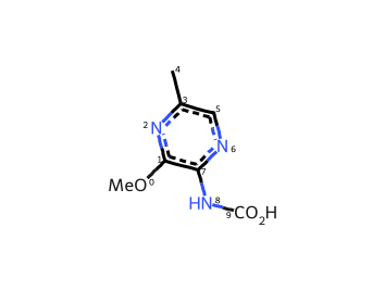 COc1nc(C)cnc1NC(=O)O